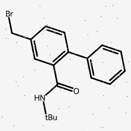 CC(C)(C)NC(=O)c1cc(CBr)ccc1-c1ccccc1